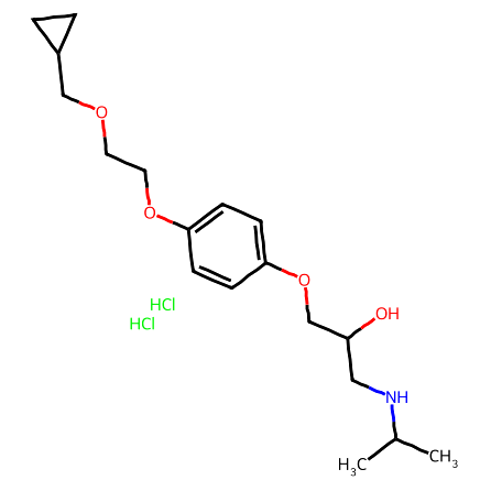 CC(C)NCC(O)COc1ccc(OCCOCC2CC2)cc1.Cl.Cl